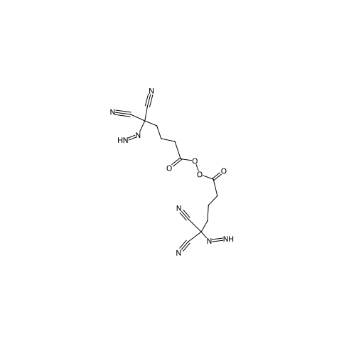 N#CC(C#N)(CCCC(=O)OOC(=O)CCCC(C#N)(C#N)N=N)N=N